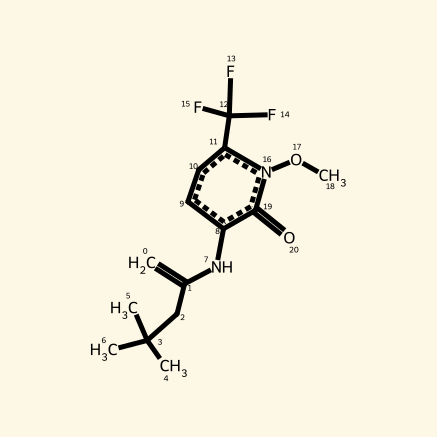 C=C(CC(C)(C)C)Nc1ccc(C(F)(F)F)n(OC)c1=O